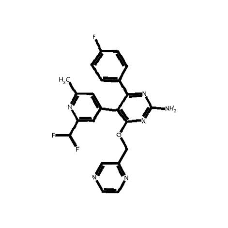 Cc1cc(-c2c(OCc3cnccn3)nc(N)nc2-c2ccc(F)cc2)cc(C(F)F)n1